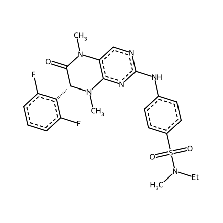 CCN(C)S(=O)(=O)c1ccc(Nc2ncc3c(n2)N(C)[C@H](c2c(F)cccc2F)C(=O)N3C)cc1